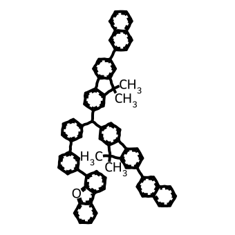 CC1(C)c2cc(-c3ccc4ccccc4c3)ccc2-c2ccc(C(c3cccc(-c4cccc(-c5cccc6c5oc5ccccc56)c4)c3)c3ccc4c(c3)C(C)(C)c3cc(-c5ccc6ccccc6c5)ccc3-4)cc21